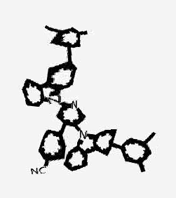 Cc1cc(C)cc(-c2ccc3c(c2)c2ccccc2n3-c2cc(-c3ccc(C#N)cc3)c(-n3c4ccccc4c4cc(-c5cc(C)cc(C)c5)ccc43)cn2)c1